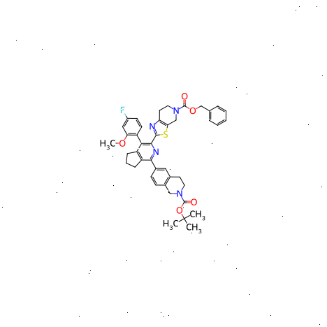 COc1cc(F)ccc1-c1c(-c2nc3c(s2)CN(C(=O)OCc2ccccc2)CC3)nc(-c2ccc3c(c2)CCN(C(=O)OC(C)(C)C)C3)c2c1CCC2